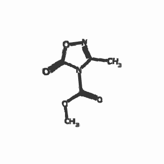 COC(=O)n1c(C)noc1=O